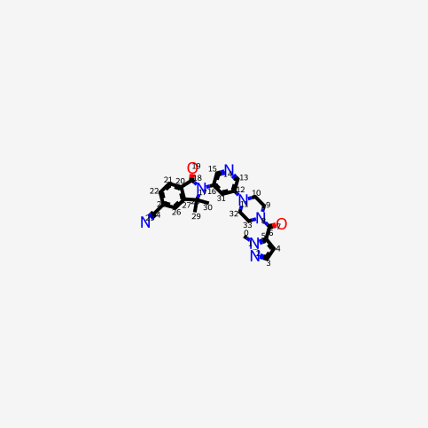 Cn1nccc1C(=O)N1CCN(c2cncc(N3C(=O)c4ccc(C#N)cc4C3(C)C)c2)CC1